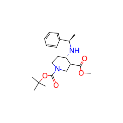 COC(=O)C1CN(C(=O)OC(C)(C)C)CC[C@@H]1N[C@H](C)c1ccccc1